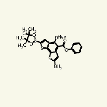 Bc1cc2c(C(=O)Oc3ccccc3)c(CCCCCC)c3cc(B4OC(C)(C)C(C)(C)O4)sc3c2s1